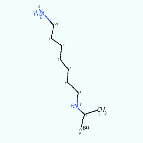 CCCCC(C)NCCCCCCCN